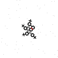 Cc1cc2c3c(c1)N(c1ccc(C(C)(C)C)cc1-c1ccccc1)c1cc(C(C)(C)C)ccc1B3c1cc(C(C)(C)C)ccc1N2c1ccc(C(C)(C)C)cc1